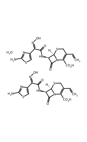 C=CC1=C(C(=O)O)N2C(=O)[C@@H](NC(=O)/C(=N\O)c3csc(N)n3)[C@H]2SC1.C=CC1=C(C(=O)O)N2C(=O)[C@@H](NC(=O)/C(=N\O)c3csc(N)n3)[C@H]2SC1.O